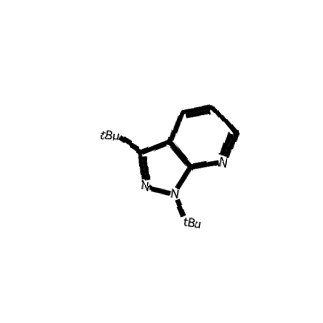 CC(C)(C)C1=NN(C(C)(C)C)C2N=CC=CC12